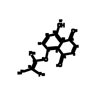 O=C1C=CC(=O)c2c(OC(F)=C(F)F)ccc(O)c21